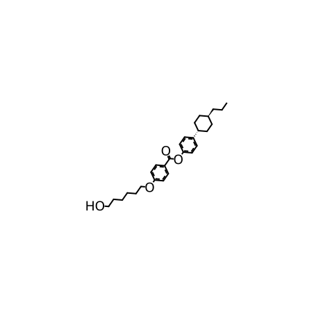 CCC[C@H]1CC[C@H](c2ccc(OC(=O)c3ccc(OCCCCCCO)cc3)cc2)CC1